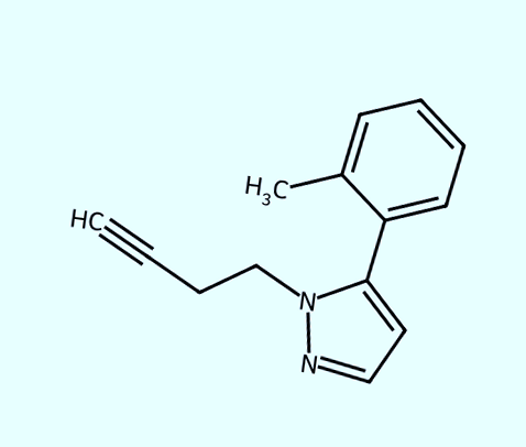 C#CCCn1nccc1-c1ccccc1C